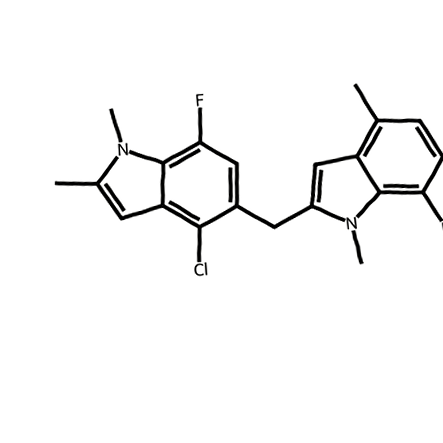 Cc1ccc(F)c2c1cc(Cc1cc(F)c3c(cc(C)n3C)c1Cl)n2C